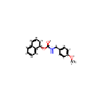 CCCCOc1ccc(CNC(=O)Oc2cccc3ccccc23)cc1